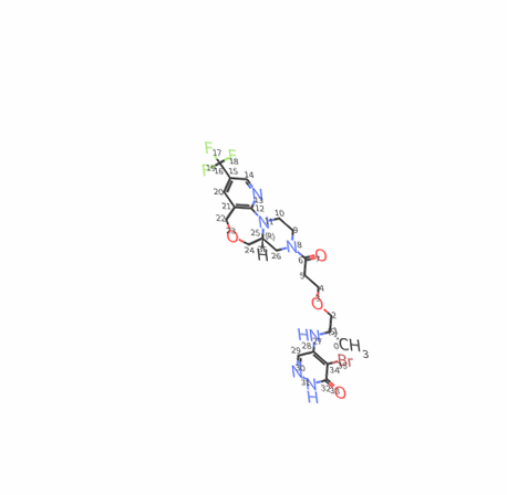 C[C@@H](COCCC(=O)N1CCN2c3ncc(C(F)(F)F)cc3COC[C@H]2C1)Nc1cn[nH]c(=O)c1Br